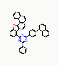 c1ccc(-c2nc(-c3ccc(-c4cccc5ccccc45)cc3)nc(-c3cccc4oc5c(ccc6ccc7ccccc7c65)c34)n2)cc1